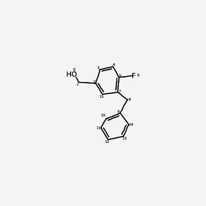 OCc1ccc(F)c(Cc2ccccc2)c1